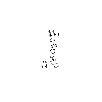 N=C(N)Nc1ccc(C(=O)Oc2ccc(CC(=O)N[C@H](CC(=O)ON)Cc3ccccc3)cc2)cc1